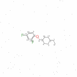 CCC1CCC(COc2ccc(F)cc2F)CC1